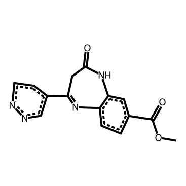 COC(=O)c1ccc2c(c1)NC(=O)CC(c1ccnnc1)=N2